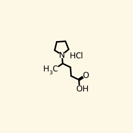 CC(CCC(=O)O)N1CCCC1.Cl